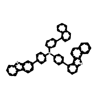 c1cc(-c2cccc3ccccc23)cc(N(c2ccc(-c3ccc4c(c3)sc3ccccc34)cc2)c2ccc(-c3cccc4oc5c6ccccc6ccc5c34)cc2)c1